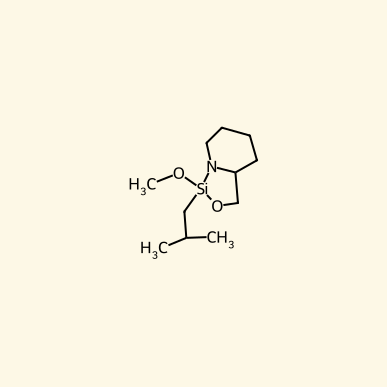 CO[Si]1(CC(C)C)OCC2CCCCN21